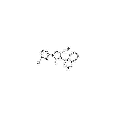 N#CC1CN(c2cccc(Cl)n2)C(=O)N1c1cncc2ccccc12